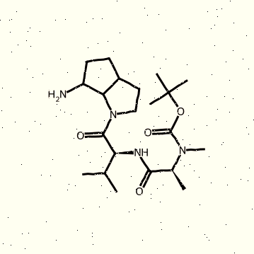 CC(C)[C@H](NC(=O)[C@H](C)N(C)C(=O)OC(C)(C)C)C(=O)N1CCC2CCC(N)C21